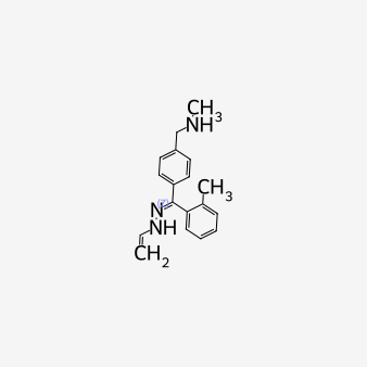 C=CN/N=C(/c1ccc(CNC)cc1)c1ccccc1C